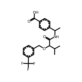 CC(NC(=O)C(OCc1cccc(C(F)(F)F)c1)C(C)C)c1ccc(C(=O)O)cc1